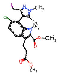 COC(=O)CCc1c(C(=O)OC)n(C)c2c(-c3c(CI)nn(C)c3C)c(Cl)ccc12